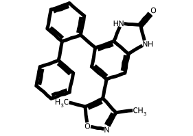 Cc1noc(C)c1-c1cc(-c2ccccc2-c2ccccc2)c2[nH]c(=O)[nH]c2c1